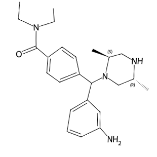 CCN(CC)C(=O)c1ccc(C(c2cccc(N)c2)N2C[C@@H](C)NC[C@@H]2C)cc1